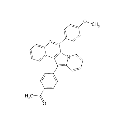 COc1ccc(-c2nc3ccccc3c3c(-c4ccc(C(C)=O)cc4)c4ccccn4c23)cc1